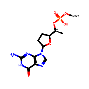 CCCCCCCCOP(=O)(O)O[C@@H](C)C1CCC(n2cnc3c(=O)[nH]c(N)nc32)O1